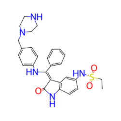 CCS(=O)(=O)Nc1ccc2c(c1)/C(=C(/Nc1ccc(CN3CCNCC3)cc1)c1ccccc1)C(=O)N2